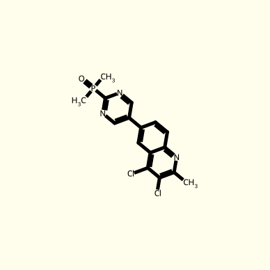 Cc1nc2ccc(-c3cnc(P(C)(C)=O)nc3)cc2c(Cl)c1Cl